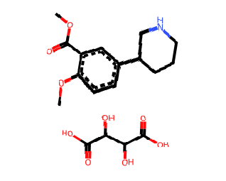 COC(=O)c1cc(C2CCCNC2)ccc1OC.O=C(O)C(O)C(O)C(=O)O